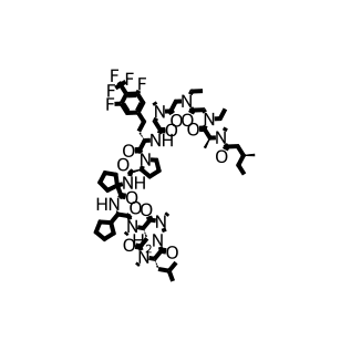 CC[C@H](C)CC(=O)N(C)[C@@H](C)C(=O)N(CC)CC(=O)N(CC)CC(=O)N(C)CC(=O)N[C@@H](CCc1cc(F)c(C(F)(F)F)c(F)c1)C(=O)N1CCC[C@H]1C(=O)NC1(C(=O)N[C@H](C(=O)N(C)[C@@H](CC(=O)N(C)[C@@H](CC(C)C)C(N)=O)C(=O)N(C)C)C2CCCC2)CCCC1